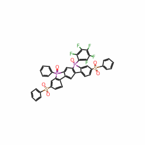 O=P1(c2ccccc2)c2cc(S(=O)(=O)c3ccccc3)ccc2-c2cc3c(cc21)P(=O)(c1c(F)c(F)c(F)c(F)c1F)c1cc(S(=O)(=O)c2ccccc2)ccc1-3